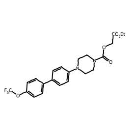 CCOC(=O)COC(=O)N1CCN(c2ccc(-c3ccc(OC(F)(F)F)cc3)cc2)CC1